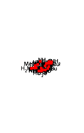 CC[C@H](C)[C@H](NC(=O)[C@H](Cc1ccccc1)NC(=O)[C@@H](NC(=O)[C@H](CC(=O)O)NC(=O)[C@H](C)NC(=O)[C@H](CO)NC(=O)[C@H](CCCNC(=N)N)NC(=O)[C@H](CCCNC(=N)N)NC)[C@@H](C)CC)C(N)=O